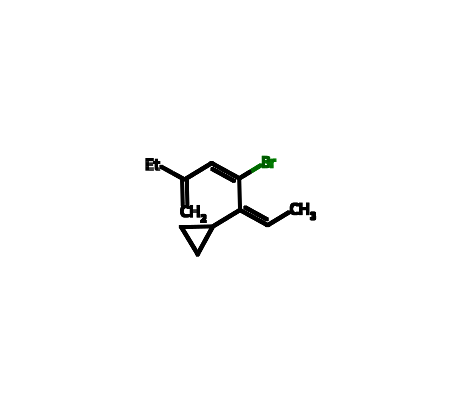 C=C(/C=C(Br)\C(=C/C)C1CC1)CC